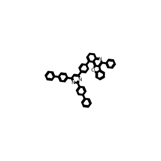 C1=CC(C2=CCCc3nc(-c4ccccc4)c4c(oc5ccccc54)c32)CC=C1c1cc(-c2ccc(-c3ccccc3)cc2)nc(C2=CCC(c3ccccc3)C=C2)n1